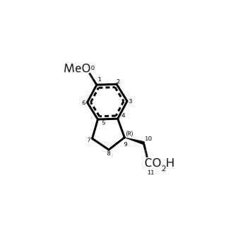 COc1ccc2c(c1)CC[C@@H]2CC(=O)O